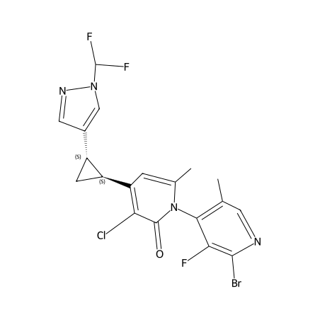 Cc1cnc(Br)c(F)c1-n1c(C)cc([C@H]2C[C@@H]2c2cnn(C(F)F)c2)c(Cl)c1=O